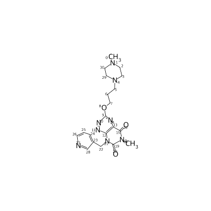 CN1CCN(CCCOc2nnc3c(n2)c(=O)n(C)c(=O)n3Cc2cccnc2)CC1